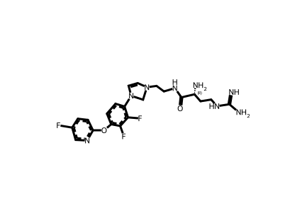 N=C(N)NCC[C@@H](N)C(=O)NCCN1C=CN(c2ccc(Oc3ccc(F)cn3)c(F)c2F)C1